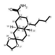 CCCCN1C[C@H](C(N)=O)C[C@@H]2CC3(CC[C@H]21)OCCO3